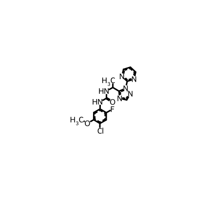 COc1cc(NC(=O)NC(C)c2ncnn2-c2ncccn2)c(F)cc1Cl